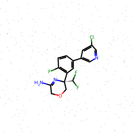 NC1=N[C@](c2cc(-c3cncc(Cl)c3)ccc2F)(C(F)F)COC1